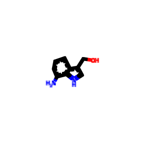 Nc1cccc2c(CO)c[nH]c12